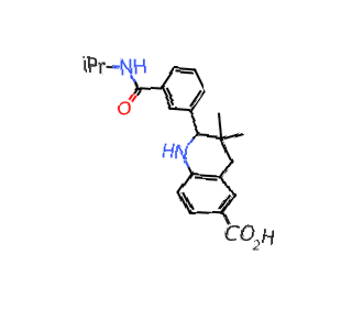 CC(C)NC(=O)c1cccc(C2Nc3ccc(C(=O)O)cc3CC2(C)C)c1